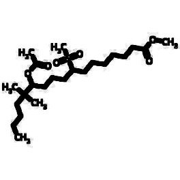 CCCCC(C)(C)C(CCCC(CCCCCCC(=O)OC)S(C)(=O)=O)OC(C)=O